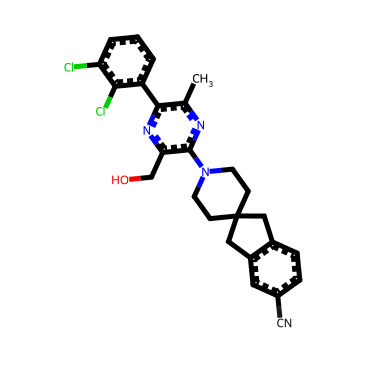 Cc1nc(N2CCC3(CC2)Cc2ccc(C#N)cc2C3)c(CO)nc1-c1cccc(Cl)c1Cl